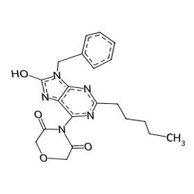 CCCCCc1nc(N2C(=O)COCC2=O)c2nc(O)n(Cc3ccccc3)c2n1